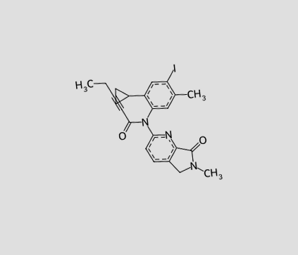 CCC#CC(=O)N(c1ccc2c(n1)C(=O)N(C)C2)c1cc(C)c(I)cc1C1CC1